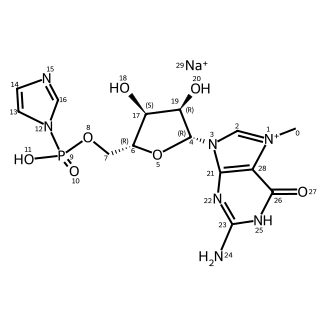 C[n+]1cn([C@@H]2O[C@H](COP(=O)(O)n3ccnc3)[C@@H](O)[C@H]2O)c2nc(N)[nH]c(=O)c21.[Na+]